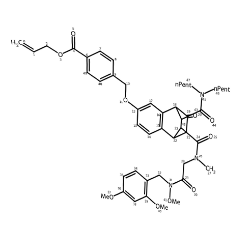 C=CCOC(=O)c1ccc(COc2ccc3c(c2)C2C(=O)CC3C(C(=O)N(C)CC(=O)N(Cc3ccc(OC)cc3OC)OC)C2C(=O)N(CCCCC)CCCCC)cc1